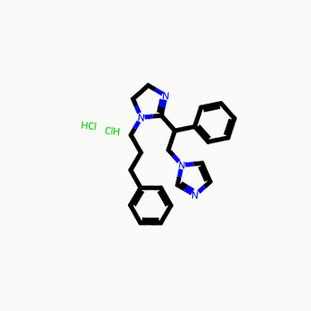 Cl.Cl.c1ccc(CCCN2CCN=C2C(Cn2ccnc2)c2ccccc2)cc1